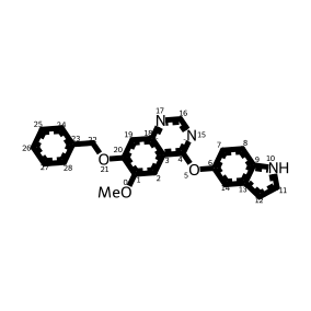 COc1cc2c(Oc3ccc4[nH]ccc4c3)ncnc2cc1OCc1ccccc1